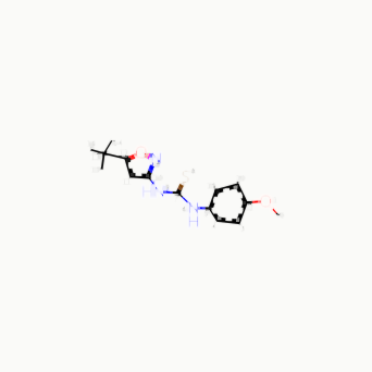 COc1ccc(NC(=S)Nc2cc(C(C)(C)C)on2)cc1